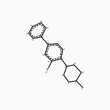 CC1CCC(c2ccc(-c3ccccc3)cc2F)CC1